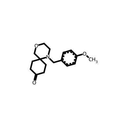 COc1ccc(CN2CCOCC23CCC(=O)CC3)cc1